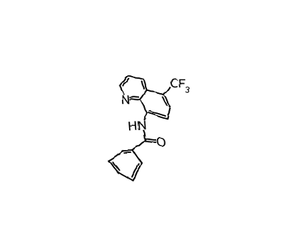 O=C(Nc1ccc(C(F)(F)F)c2cccnc12)c1ccccc1